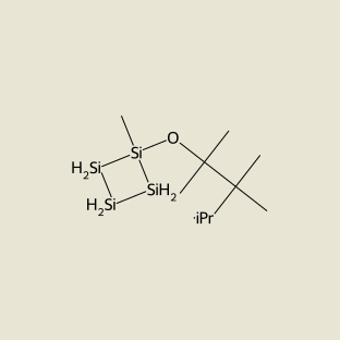 C[C](C)C(C)(C)C(C)(C)O[Si]1(C)[SiH2][SiH2][SiH2]1